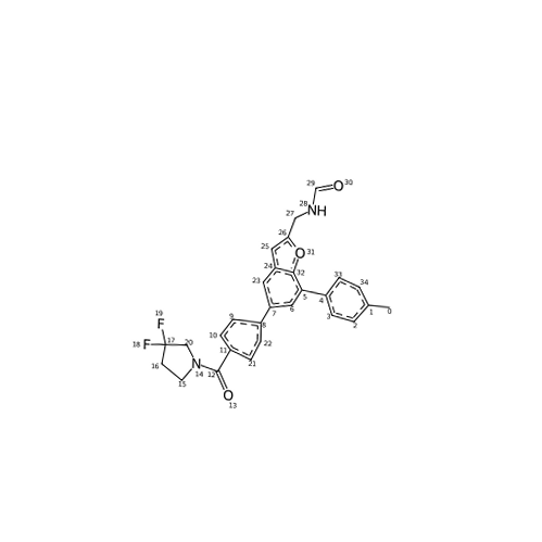 Cc1ccc(-c2cc(-c3ccc(C(=O)N4CCC(F)(F)C4)cc3)cc3cc(CNC=O)oc23)cc1